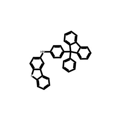 c1ccc(C2(c3ccc(Nc4ccc5sc6ccccc6c5c4)cc3)c3ccccc3-c3ccccc32)cc1